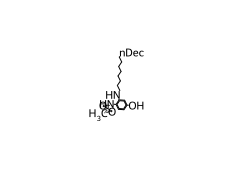 CCCCCCCCCCCCCCCCCCNc1cc(O)ccc1NS(C)(=O)=O